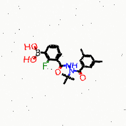 Cc1cc(C)cc(C(=O)N(NC(=O)c2cccc(B(O)O)c2F)C(C)(C)C)c1